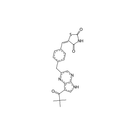 CC(C)(C)C(=O)c1c[nH]c2ncc(Cc3ccc(C=C4SC(=O)NC4=O)cc3)nc12